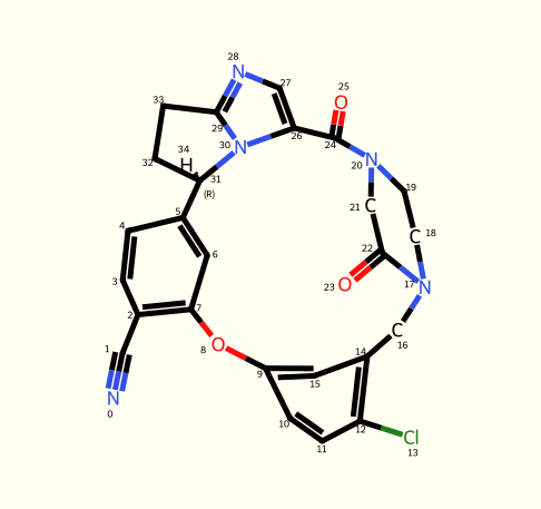 N#Cc1ccc2cc1Oc1ccc(Cl)c(c1)CN1CCN(CC1=O)C(=O)c1cnc3n1[C@@H]2CC3